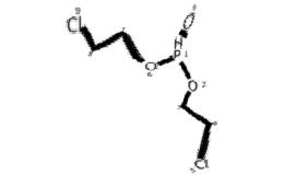 O=[PH](OCCCl)OCCCl